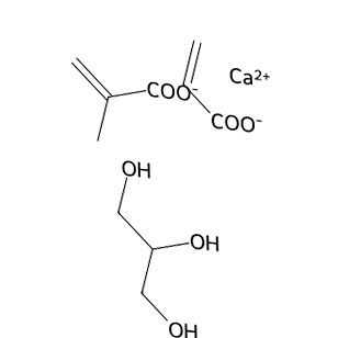 C=C(C)C(=O)[O-].C=CC(=O)[O-].OCC(O)CO.[Ca+2]